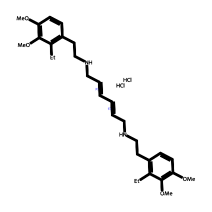 CCc1c(CCNC/C=C/C=C/CNCCc2ccc(OC)c(OC)c2CC)ccc(OC)c1OC.Cl.Cl